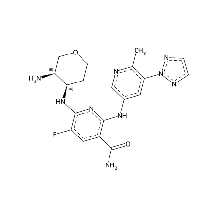 Cc1ncc(Nc2nc(N[C@@H]3CCOC[C@@H]3N)c(F)cc2C(N)=O)cc1-n1nccn1